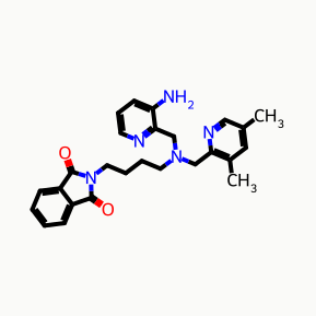 Cc1cnc(CN(CCCCN2C(=O)c3ccccc3C2=O)Cc2ncccc2N)c(C)c1